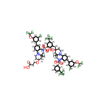 C[C@]1(OCCC(=O)O)CCN2c3ccc(-c4cc(F)cc(OC(F)F)c4)cc3N(S(=O)(=O)c3cc(C[C@]4(O)CCN5c6ccc(-c7cc(F)cc(OC(F)F)c7)cc6N(S(=O)(=O)c6cccc(C(F)(F)F)c6)C[C@@H]5C4)cc(C(F)(F)F)c3)C[C@@H]2C1